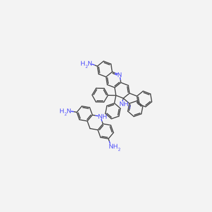 Nc1ccc2c(c1)Cc1cc(N)ccc1N2.Nc1ccc2nc3c(cc2c1)C(c1ccccc1)(c1ccccc1)C(N)(c1ccccc1)C(c1ccccc1)=C3